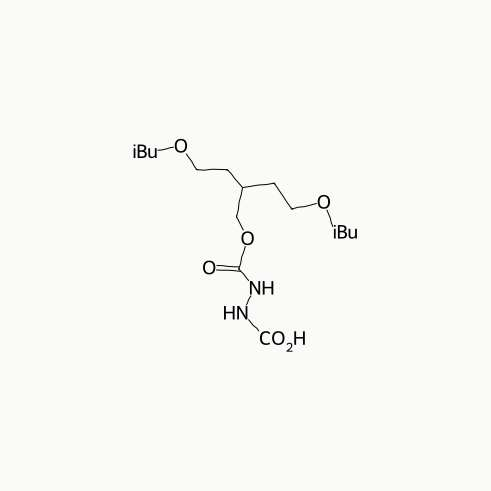 CCC(C)OCCC(CCOC(C)CC)COC(=O)NNC(=O)O